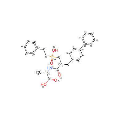 C[C@H](NC(=O)[C@H](Cc1ccc(-c2ccccc2)cc1)CP(=O)(O)CCc1ccccc1)C(=O)O